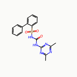 Cc1nc(C)nc(NC(=O)NS(=O)(=O)c2ccccc2-c2ccccc2)n1